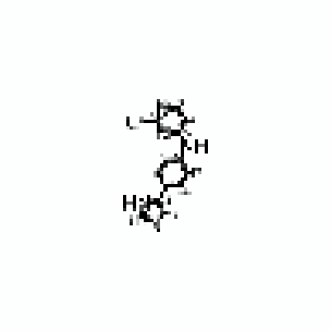 Clc1nccc(Nc2ccc(-c3cnc[nH]3)cc2)n1